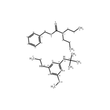 CCCN(CCC)C(=O)SCc1ccccc1.CCNc1nc(NC(C)(C)C)nc(SC)n1